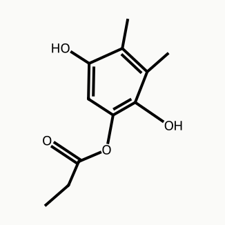 CCC(=O)Oc1cc(O)c(C)c(C)c1O